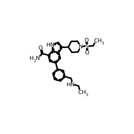 CCNCc1cccc(-c2cc(C(N)=O)c3[nH]cc(C4CCN(S(=O)(=O)CC)CC4)c3c2)c1